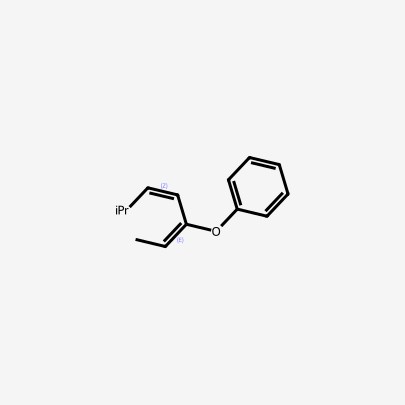 C/C=C(\C=C/C(C)C)Oc1ccccc1